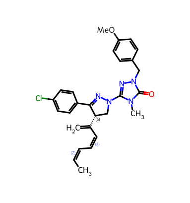 C=C(/C=C\C=C/C)[C@H]1CN(c2nn(Cc3ccc(OC)cc3)c(=O)n2C)N=C1c1ccc(Cl)cc1